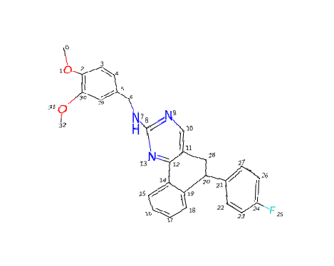 COc1ccc(CNc2ncc3c(n2)-c2ccccc2C(c2ccc(F)cc2)C3)cc1OC